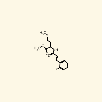 COC(=O)C(CCSC)NC(=O)C=Cc1ccccc1F